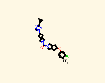 O=C(N1CC2CC(Oc3ccc(C(F)(F)F)c(Cl)c3)CC2C1)N1CC2(CC(n3cnc(C4CC4)n3)C2)C1